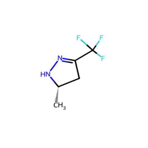 C[C@H]1CC(C(F)(F)F)=NN1